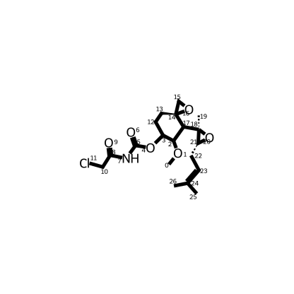 COC1C(OC(=O)NC(=O)CCl)CC[C@]2(CO2)C1[C@@]1(C)O[C@@H]1CC=C(C)C